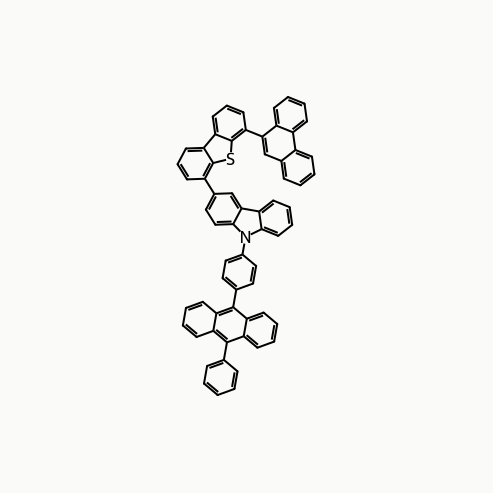 c1ccc(-c2c3ccccc3c(-c3ccc(-n4c5ccccc5c5cc(-c6cccc7c6sc6c(-c8cc9ccccc9c9ccccc89)cccc67)ccc54)cc3)c3ccccc23)cc1